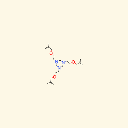 C=C(C)COCCN1CN(CCOCC(=C)C)CN(CCOCC(=C)C)C1